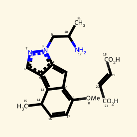 COC1=C2C=c3c(cnn3CC(C)N)=C2C(C)C=C1.O=C(O)/C=C/C(=O)O